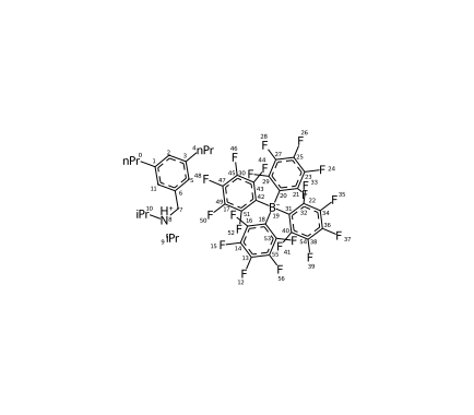 CCCc1cc(CCC)cc(C[NH+](C(C)C)C(C)C)c1.Fc1c(F)c(F)c([B-](c2c(F)c(F)c(F)c(F)c2F)(c2c(F)c(F)c(F)c(F)c2F)c2c(F)c(F)c(F)c(F)c2F)c(F)c1F